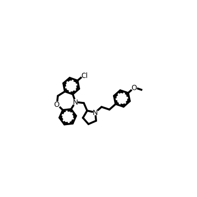 COc1ccc(CCN2CCCC2CN2c3cc(Cl)ccc3COc3ccccc32)cc1